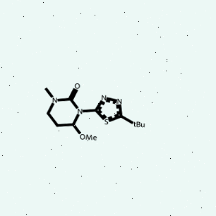 COC1CCN(C)C(=O)N1c1nnc(C(C)(C)C)s1